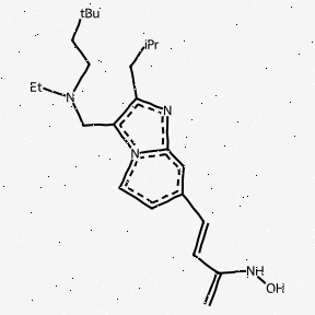 C=C(/C=C/c1ccn2c(CN(CC)CCC(C)(C)C)c(CC(C)C)nc2c1)NO